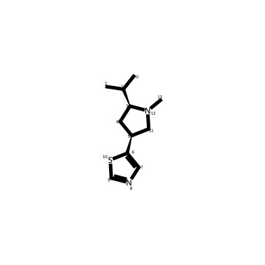 CC(C)[C@@H]1C[C@H](c2cncs2)CN1C